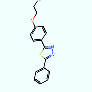 CCCCCCCCCCCCOc1ccc(-c2nnc(-c3ccccc3)s2)cc1